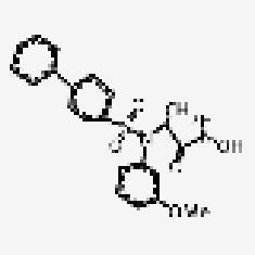 COc1cccc(N(C(C)C(=O)NO)S(=O)(=O)c2ccc(-c3ccccc3)cc2)c1